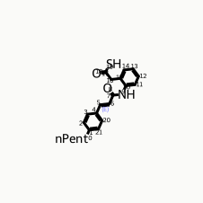 CCCCCc1ccc(/C=C/C(=O)Nc2ccccc2CC(=O)S)cc1